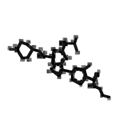 CCCNC(=O)c1ccc(-c2cnn3c(NCC4CCN(C)CC4)cc(NC(C)C)nc23)cc1C